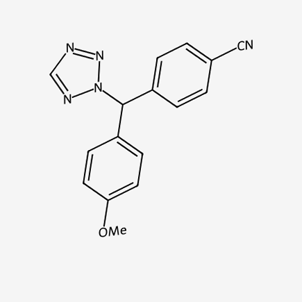 COc1ccc(C(c2ccc(C#N)cc2)n2ncnn2)cc1